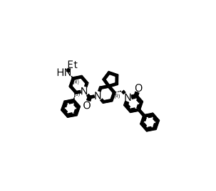 CCN[C@@H]1CCN(C(=O)N2CC[C@@H](Cn3ccc(-c4ccccc4)cc3=O)C3(CCCC3)C2)[C@H](c2ccccc2)C1